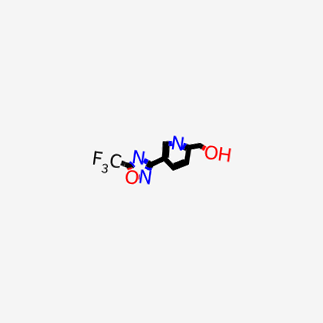 OCc1ccc(-c2noc(C(F)(F)F)n2)cn1